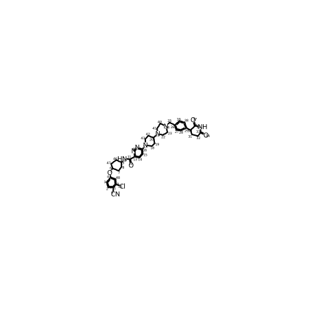 N#Cc1ccc(OC2CCC(NC(=O)c3ccc(N4CCC(N5CCN(Cc6ccc(C7CCC(=O)NC7=O)cc6)CC5)CC4)nn3)CC2)cc1Cl